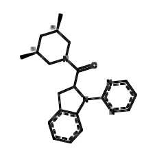 C[C@@H]1C[C@H](C)CN(C(=O)C2Cc3ccccc3N2c2ncccn2)C1